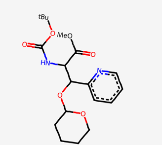 COC(=O)C(NC(=O)OC(C)(C)C)C(OC1CCCCO1)c1ccccn1